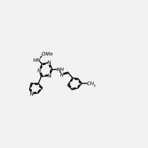 CONc1nc(NN=Cc2cccc(C)c2)nc(-c2ccncc2)n1